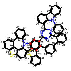 c1ccc(-n2c3ccccc3c3cccc(-c4nc(-c5ccc6sc7ccccc7c6c5)nc(-c5ccccc5-c5cccc(-c6ccc7c(c6)c6ccc8sc9cccc%10c%11ccccc%11n7c6c8c9%10)c5)n4)c32)cc1